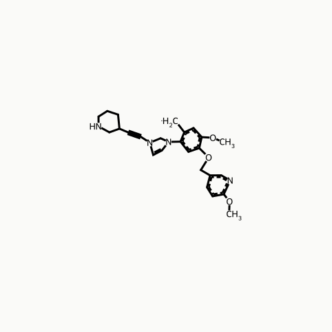 [CH2]c1cc(OC)c(OCc2ccc(OC)nc2)cc1N1C=CN(C#CC2CCCNC2)C1